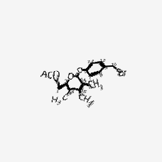 CC(=O)OCC1OC(Oc2ccc(CBr)cc2)C(C)C(C)C1C